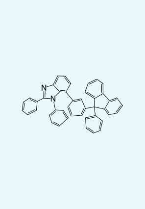 c1ccc(-c2nc3cccc(-c4cccc(C5(c6ccccc6)c6ccccc6-c6ccccc65)c4)c3n2-c2ccccc2)cc1